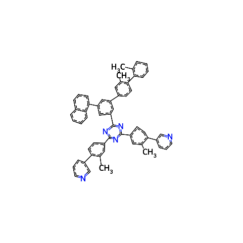 Cc1cc(-c2nc(-c3cc(-c4ccc(-c5ccccc5C)c(C)c4)cc(-c4cccc5ccccc45)c3)nc(-c3ccc(-c4cccnc4)c(C)c3)n2)ccc1-c1cccnc1